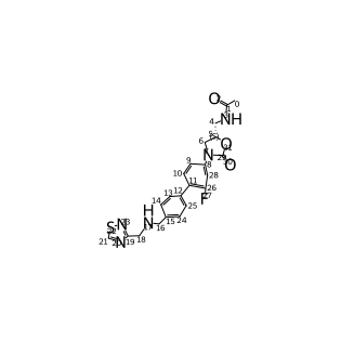 CC(=O)NC[C@H]1CN(c2ccc(-c3ccc(CNCc4ncsn4)cc3)c(F)c2)C(=O)O1